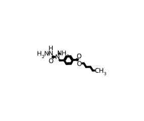 CCCCCOC(=O)c1ccc(CN(N)C(=O)NN)cc1